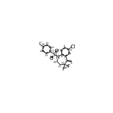 C=C1c2cc(Cl)ccc2N(S(=O)(=O)c2ccc(C)cc2)CCC1(F)F